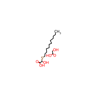 CCCCCCCCCCCCSC(O)C(=O)O.O=C(O)CO